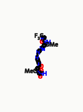 COc1cc2nn(C3CCN(CCCN4CCC5(CC4)CCN(C(=O)c4ccc(OC)c(N6CCC(=O)NC6=O)c4)CC5)CC3)cc2cc1NC(=O)c1cccc(C(F)(F)F)n1